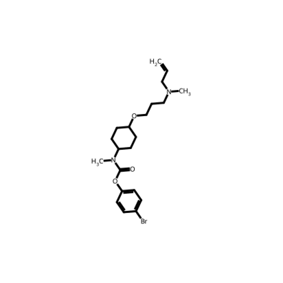 C=CCN(C)CCCOC1CCC(N(C)C(=O)Oc2ccc(Br)cc2)CC1